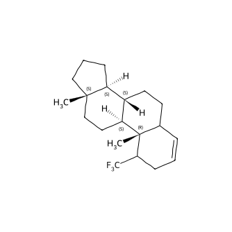 C[C@@]12CCC[C@H]1[C@@H]1CCC3C=CCC(C(F)(F)F)[C@]3(C)[C@H]1CC2